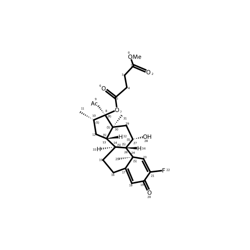 COC(=O)CCC(=O)O[C@]1(C(C)=O)[C@@H](C)C[C@H]2[C@@H]3CCC4=CC(=O)C(F)=C[C@]4(C)[C@H]3[C@@H](O)C[C@@]21C